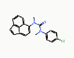 CN(C(=N)N(C)c1ccc2c3c(cccc13)C=C2)c1ccc(Cl)cc1